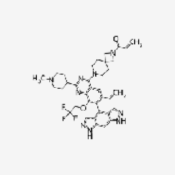 C=CC(=O)N1CC2(CCN(c3nc(C4CCN(C)CC4)nc4c(OCC(F)(F)F)c(-c5c6cn[nH]c6cc6[nH]ncc56)c(C=C)cc34)CC2)C1